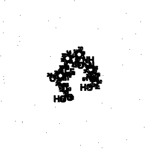 CNc1cc(C(=O)Nc2cccc(-c3cccc(/C=C/c4cc(OC)c(CN5CCC(C(=O)O)C5)cc4C(F)(F)F)c3C)c2C)ncc1CN1CC[C@@H](O)C1